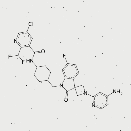 Nc1ccnc(N2CC3(C2)C(=O)N(CC2CCC(NC(=O)c4cc(Cl)cnc4C(F)F)CC2)c2cc(F)ccc23)c1